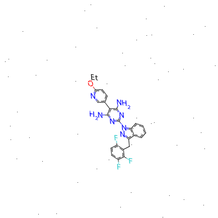 CCOc1ccc(-c2c(N)nc(-n3nc(Cc4c(F)ccc(F)c4F)c4ccccc43)nc2N)cn1